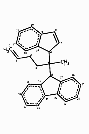 C=CCCC(C)(C1C=Cc2ccccc21)C1c2ccccc2-c2ccccc21